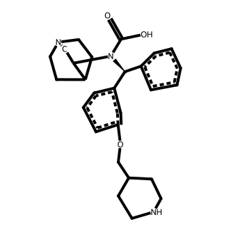 O=C(O)N(C1CN2CCC1CC2)[C@@H](c1ccccc1)c1cccc(OCC2CCNCC2)c1